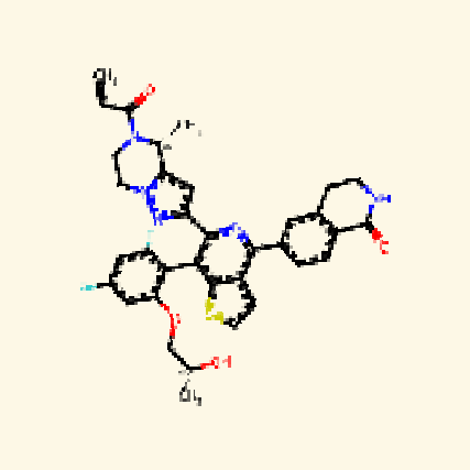 C=CC(=O)N1CCn2nc(-c3nc(-c4ccc5c(c4)CCNC5=O)c4ccsc4c3-c3c(F)cc(F)cc3OC[C@@H](C)O)cc2[C@H]1C